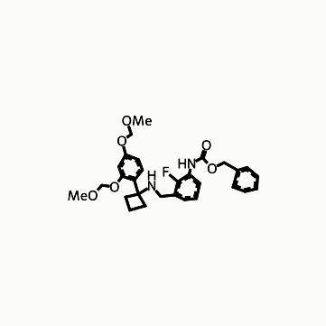 COCOc1ccc(C2(NCc3cccc(NC(=O)OCc4ccccc4)c3F)CCC2)c(OCOC)c1